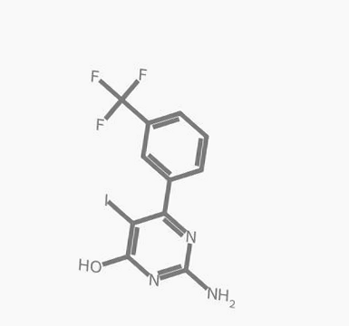 Nc1nc(O)c(I)c(-c2cccc(C(F)(F)F)c2)n1